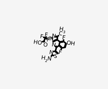 Cc1n[nH]c2nc(-c3csc(N)n3)c3c(F)cc(O)c(F)c3c12.O=C(O)C(F)(F)F